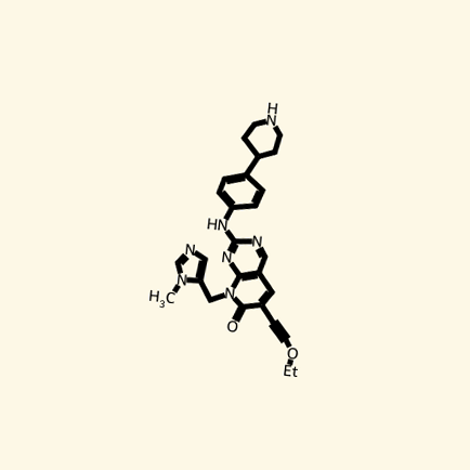 CCOC#Cc1cc2cnc(Nc3ccc(C4CCNCC4)cc3)nc2n(Cc2cncn2C)c1=O